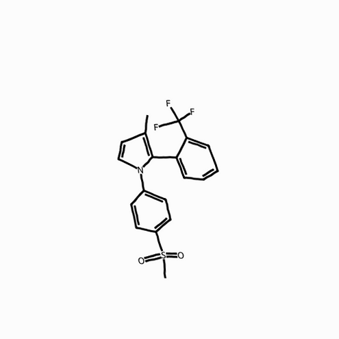 Cc1ccn(-c2ccc(S(C)(=O)=O)cc2)c1-c1ccccc1C(F)(F)F